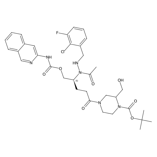 CC(=O)N(NCc1cccc(F)c1Cl)[C@@H](CCC(=O)N1CCN(C(=O)OC(C)(C)C)C(CO)C1)COC(=O)Nc1cc2ccccc2cn1